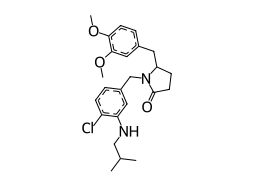 COc1ccc(CC2CCC(=O)N2Cc2ccc(Cl)c(NCC(C)C)c2)cc1OC